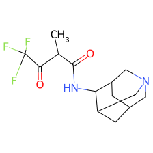 CC(C(=O)NC1C2CC3CC1CN(C3)C2)C(=O)C(F)(F)F